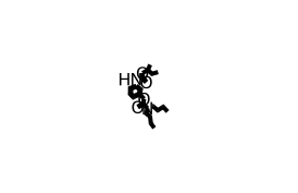 CCCCN(CCCC)C(=O)Oc1cccc(NC(=O)OC(C)CC)c1